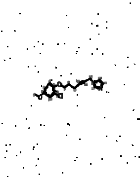 COc1ccc(OCCCC#CCn2ccnc2)c(Cl)c1